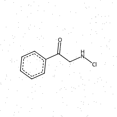 O=C(CNCl)c1ccccc1